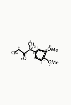 COc1ccc(N(C)C(=O)CCl)cc1OC